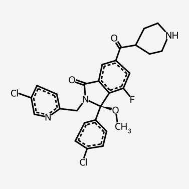 CO[C@]1(c2ccc(Cl)cc2)c2c(F)cc(C(=O)C3CCNCC3)cc2C(=O)N1Cc1ccc(Cl)cn1